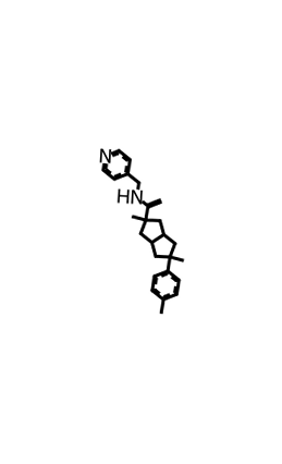 C=C(NCc1ccncc1)C1(C)CC2CC(C)(c3ccc(C)cc3)CC2C1